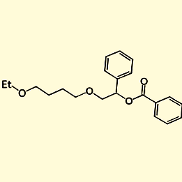 CCOCCCCOCC(OC(=O)c1ccccc1)c1ccccc1